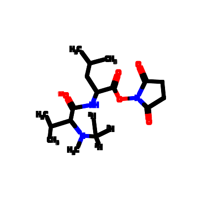 [2H]C([2H])([2H])N(C)C(C(=[18O])NC(CC(C)C)C(=O)ON1C(=O)CCC1=O)C(C)C